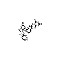 N#CC1(Cn2ccc3cc(Cl)cc(-c4ccnc5cc(CN6C(=O)CNCC6=O)sc45)c32)CCNCC1